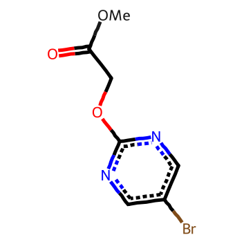 COC(=O)COc1ncc(Br)cn1